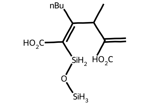 C=C(C(=O)O)C(C)C(CCCC)=C([SiH2]O[SiH3])C(=O)O